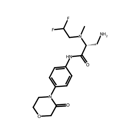 CN(CC(F)F)[C@H](CN)C(=O)Nc1ccc(N2CCOCC2=O)cc1